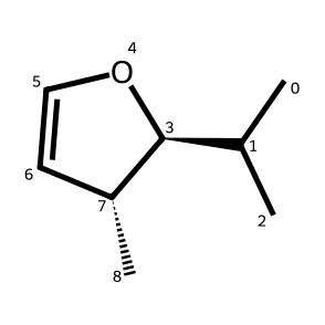 CC(C)[C@@H]1OC=C[C@H]1C